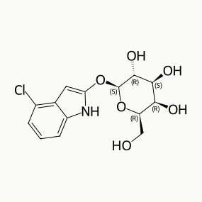 OC[C@H]1O[C@@H](Oc2cc3c(Cl)cccc3[nH]2)[C@H](O)[C@@H](O)[C@H]1O